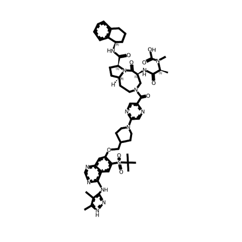 Cc1[nH]nc(Nc2ncnc3cc(OCC4CCN(c5cnc(C(=O)N6CC[C@H]7CC[C@@H](C(=O)N[C@@H]8CCCc9ccccc98)N7C(=O)[C@@H](NC(=O)[C@H](C)N(C)C(=O)O)C6)cn5)CC4)c(S(=O)(=O)C(C)(C)C)cc23)c1C